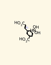 O=C(O)/C=C/c1cccc(C(=O)O)c1.ONO